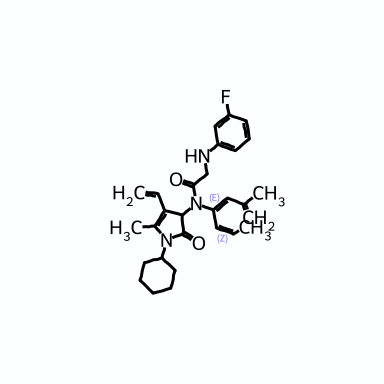 C=CC1=C(C)N(C2CCCCC2)C(=O)C1N(C(=O)CNc1cccc(F)c1)C(/C=C\C)=C/C(=C)C